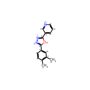 Cc1ccc(-c2nnc(-c3cccnc3)o2)cc1C